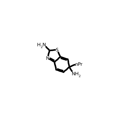 CCCC1(N)C=CC2=NC(N)SC2=C1